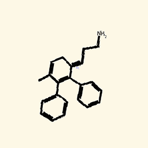 CC1=CC/C(=C\CCN)C(c2ccccc2)=C1c1ccccc1